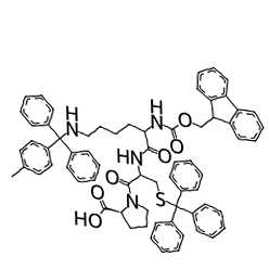 Cc1ccc(C(NCCCCC(NC(=O)OCC2c3ccccc3-c3ccccc32)C(=O)NC(CSC(c2ccccc2)(c2ccccc2)c2ccccc2)C(=O)N2CCC[C@H]2C(=O)O)(c2ccccc2)c2ccccc2)cc1